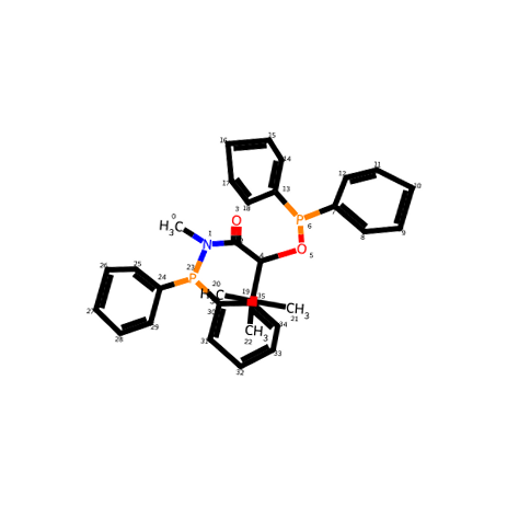 CN(C(=O)C(OP(c1ccccc1)c1ccccc1)C(C)(C)C)P(c1ccccc1)c1ccccc1